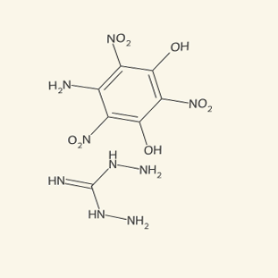 N=C(NN)NN.Nc1c([N+](=O)[O-])c(O)c([N+](=O)[O-])c(O)c1[N+](=O)[O-]